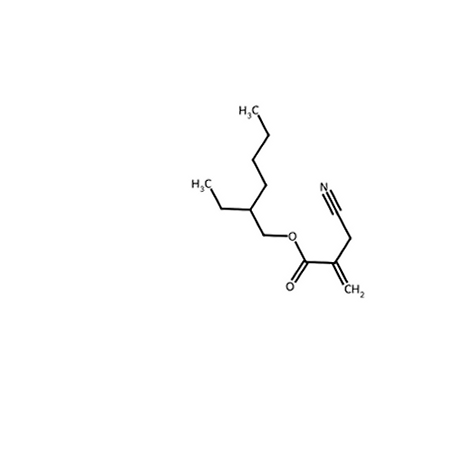 C=C(CC#N)C(=O)OCC(CC)CCCC